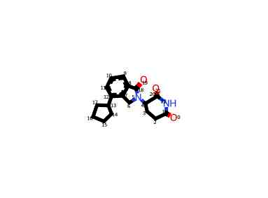 O=C1CCC(N2Cc3c(cccc3C3CCCC3)C2=O)C(=O)N1